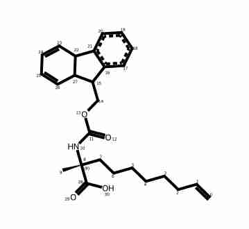 C=CCCCCCC[C@@](C)(NC(=O)OCC1c2ccccc2C2C=CC=CC21)C(=O)O